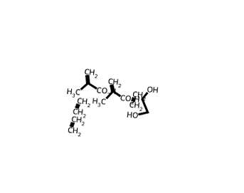 C=C.C=C.C=C.C=C(C)C(=O)O.C=C(C)C(=O)O.OCCO